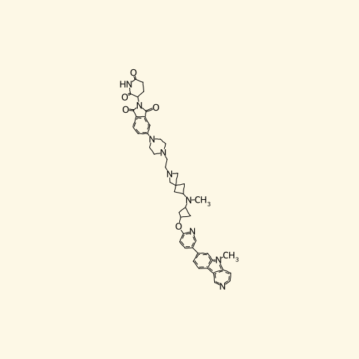 CN(C1CC(Oc2ccc(-c3ccc4c5cnccc5n(C)c4c3)cn2)C1)C1CC2(C1)CN(CCN1CCN(c3ccc4c(c3)C(=O)N(C3CCC(=O)NC3=O)C4=O)CC1)C2